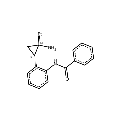 CC[C@]1(N)C[C@H]1c1ccccc1NC(=O)c1ccccc1